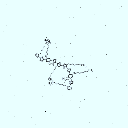 CCCCCCCCOc1cc(-c2ccc(-c3sc(-c4cc(CCCCCCCC)c(-c5ccc(-c6cc(C)c(-c7ccc(-c8sccc8CCCCCCCC)s7)cc6OCCCCCCCC)s5)s4)cc3CCCCCCCC)s2)c(C)cc1-c1ccc(-c2sccc2CCCCCCCC)s1